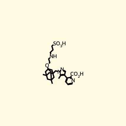 Cc1c(-c2cccnc2C(=O)O)cnn1CC12CC3(C)CC(C)(C1)CC(OCCNCCCS(=O)(=O)O)(C3)C2